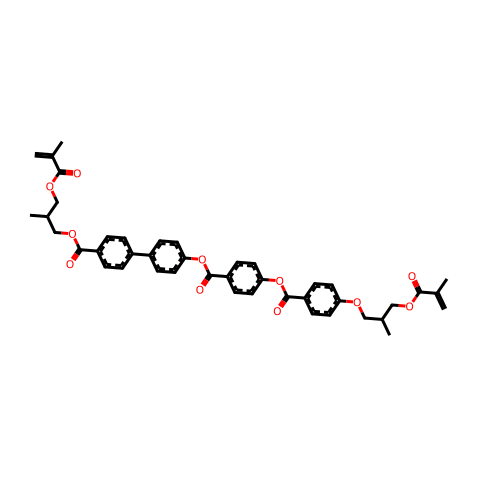 C=C(C)C(=O)OCC(C)COC(=O)c1ccc(-c2ccc(OC(=O)c3ccc(OC(=O)c4ccc(OCC(C)COC(=O)C(=C)C)cc4)cc3)cc2)cc1